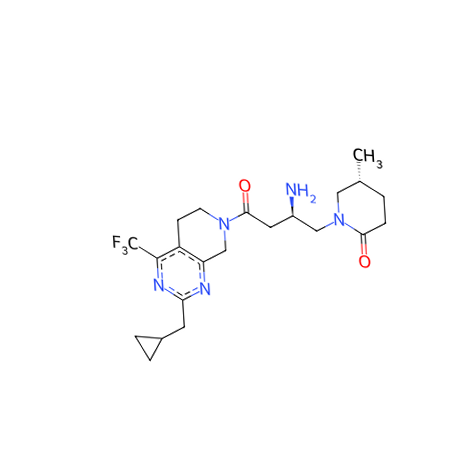 C[C@@H]1CCC(=O)N(C[C@H](N)CC(=O)N2CCc3c(nc(CC4CC4)nc3C(F)(F)F)C2)C1